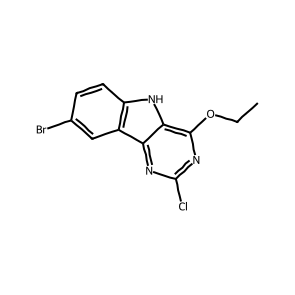 CCOc1nc(Cl)nc2c1[nH]c1ccc(Br)cc12